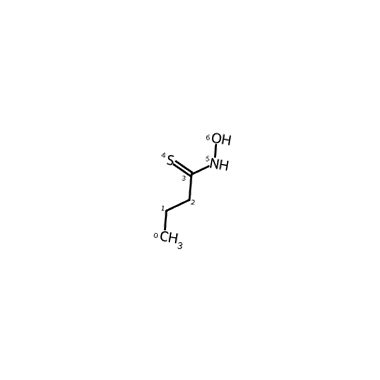 CCCC(=S)NO